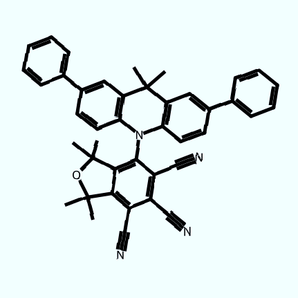 CC1(C)OC(C)(C)c2c(N3c4ccc(-c5ccccc5)cc4C(C)(C)c4cc(-c5ccccc5)ccc43)c(C#N)c(C#N)c(C#N)c21